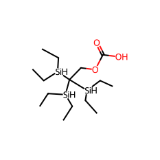 CC[SiH](CC)C(COC(=O)O)([SiH](CC)CC)[SiH](CC)CC